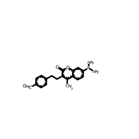 CCCN(CCC)c1ccc2c(C)c(CCc3ccc(C=O)cc3)c(=O)oc2c1